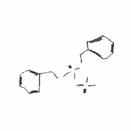 O=P(O)(O)OP(=O)(SCc1ccccc1)SCc1ccccc1